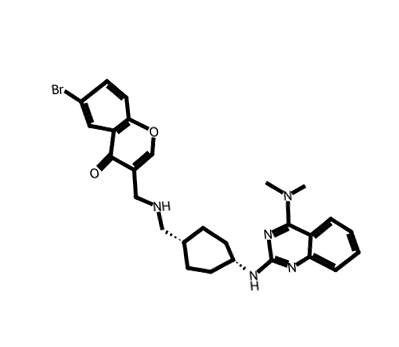 CN(C)c1nc(N[C@H]2CC[C@@H](CNCc3coc4ccc(Br)cc4c3=O)CC2)nc2ccccc12